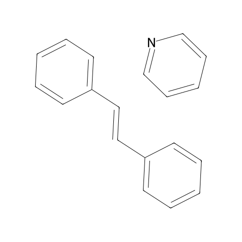 C(=C\c1ccccc1)/c1ccccc1.c1ccncc1